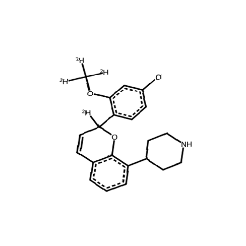 [2H]C([2H])([2H])Oc1cc(Cl)ccc1C1([2H])C=Cc2cccc(C3CCNCC3)c2O1